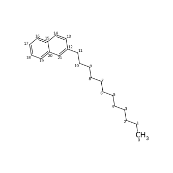 CCCCCCCCCCCCc1ccc2ccccc2c1